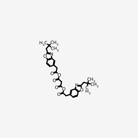 CC(C)(C)Cc1nc2cc(CC(=O)OC(=O)CC(=O)OC(=O)Cc3ccc4oc(CC(C)(C)C)nc4c3)ccc2o1